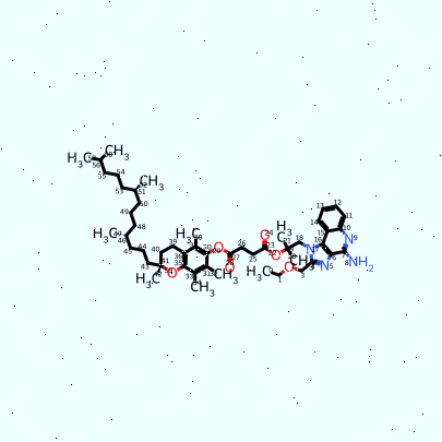 CCOCc1nc2c(N)nc3ccccc3c2n1CC(C)(C)OC(=O)CCC(=O)Oc1c(C)c(C)c2c(c1C)CC[C@@](C)(CCC[C@H](C)CCC[C@H](C)CCCC(C)C)O2